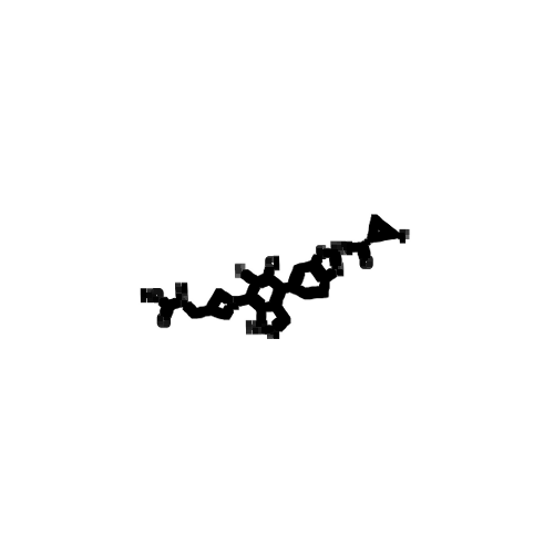 O=C(O)NCC1CN(c2c(F)c(Cl)c(-c3ccc4nc(NC(=O)[C@@H]5C[C@@H]5F)sc4c3)c3cn[nH]c23)C1